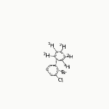 [2H]c1c([2H])c([2H])c(-c2cccc(Cl)c2Br)c([2H])c1[2H]